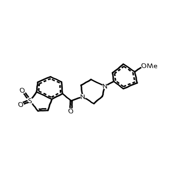 COc1ccc(N2CCN(C(=O)c3cccc4c3C=CS4(=O)=O)CC2)cc1